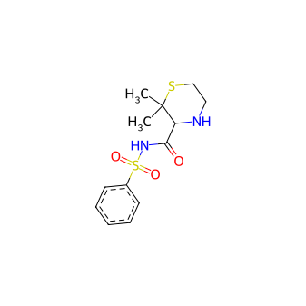 CC1(C)SCCNC1C(=O)NS(=O)(=O)c1ccccc1